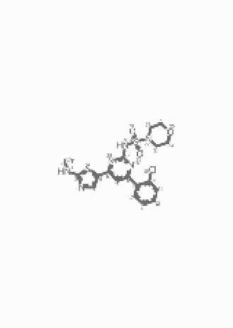 CC(C)Nc1ncc(-c2cc(-c3ccccc3Cl)nc(NS(=O)(=O)N3CCOCC3)n2)s1